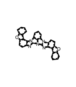 c1ccc2c(c1)oc1ccc3c(nc4n3c3cccc5c3n4c3nc4ccc6oc7ccccc7c6c4n53)c12